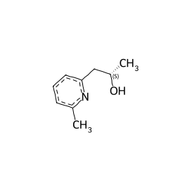 Cc1cccc(C[C@H](C)O)n1